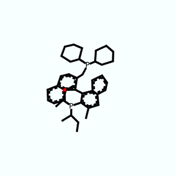 CCC(C)P(c1c(C)cc2ccccc2c1-c1c(CP(C2CCCCC2)C2CCCCC2)ccc2ccccc12)C(C)CC